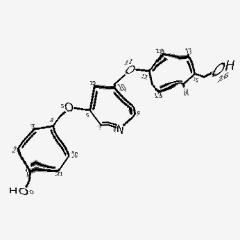 Oc1ccc(Oc2cncc(Oc3ccc(O)cc3)c2)cc1